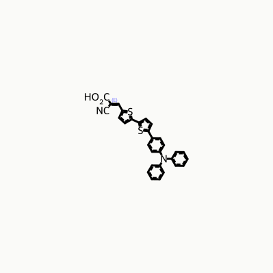 N#C/C(=C\c1ccc(-c2ccc(-c3ccc(N(c4ccccc4)c4ccccc4)cc3)s2)s1)C(=O)O